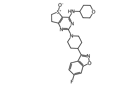 [O-][S+]1CCc2nc(N3CCC(c4noc5cc(F)ccc45)CC3)nc(NC3CCOCC3)c21